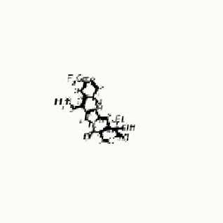 CC[C@@]1(O)C(=O)OCc2c1cc1n(c2=O)Cc2c-1nc1ccc(C(F)(F)F)cc1c2CN